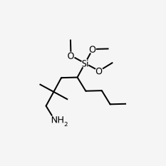 CCCCC(CC(C)(C)CN)[Si](OC)(OC)OC